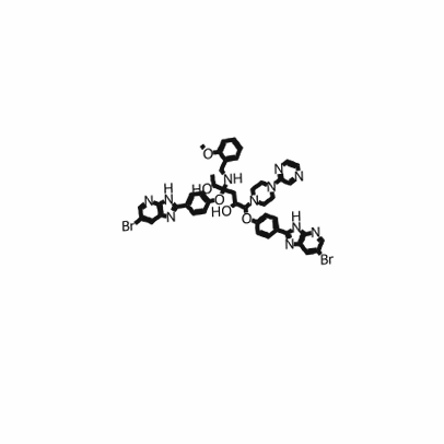 COc1ccccc1CNC(CC(O)C(Oc1ccc(-c2nc3cc(Br)cnc3[nH]2)cc1)N1CCN(c2cnccn2)CC1)(Oc1ccc(-c2nc3cc(Br)cnc3[nH]2)cc1)C(C)O